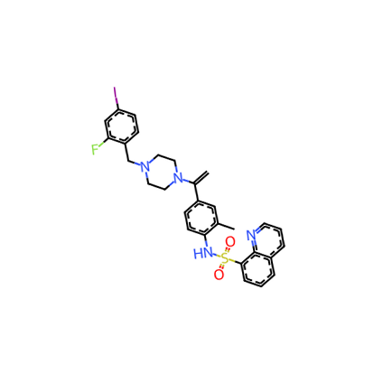 C=C(c1ccc(NS(=O)(=O)c2cccc3cccnc23)c(C)c1)N1CCN(Cc2ccc(I)cc2F)CC1